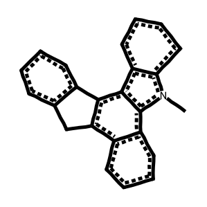 Cn1c2ccccc2c2c3c(c4ccccc4c21)Cc1ccccc1-3